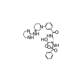 O=C(NC[C@H](NS(=O)(=O)c1ccccc1)C(=O)O)c1cccc(N2CCC[C@H](NC3=NCCCN3)C2)c1